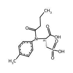 CCCC(=O)N(c1ccc(C)cc1)[C@@H](CS(=O)(=O)O)C(=O)O